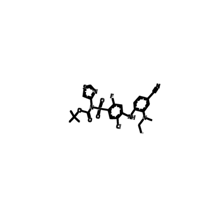 [CH2]CN(C)c1cc(C#N)ccc1Nc1cc(F)c(S(=O)(=O)N(C(=O)OC(C)(C)C)c2cscn2)cc1Cl